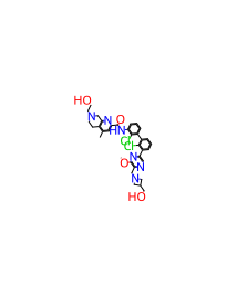 COc1nc(-c2cccc(-c3cccc(NC(=O)c4cc(C)c5c(n4)CN(CCO)CC5)c3Cl)c2Cl)cnc1CN1CC(CO)C1